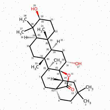 CC1(C)CC[C@@]23CC[C@]4(C)[C@@](OC2=O)([C@@H]3C1)[C@@H](O)C[C@@H]1[C@@]2(C)CC[C@H](O)C(C)(C)[C@@H]2CC[C@]14C